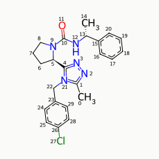 Cc1nnc([C@H]2CCCN2C(=O)N[C@H](C)c2ccccc2)n1Cc1ccc(Cl)cc1